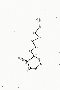 [2H]CCCCCCC1CCCOC1=O